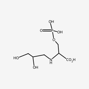 O=C(O)C(COP(=O)(O)O)NCC(O)CO